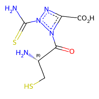 NC(=S)n1nc(C(=O)O)n1C(=O)[C@@H](N)CS